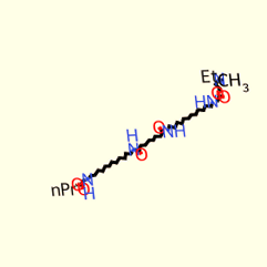 CCCOC(=O)CNCCCCCCCCCCCCNC(=O)CCCCCCC(=O)NCCCCCCCCCCCCNCC(=O)OCCN(C)CC